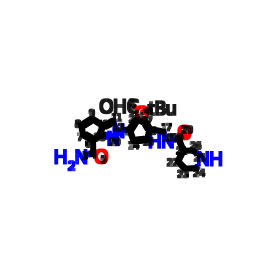 CC(C)(C)OC=O.NC(=O)c1cccc2cn(-c3ccc(CNC(=O)C4CCCNC4)cc3)nc12